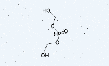 O=[PH](OCO)OCO